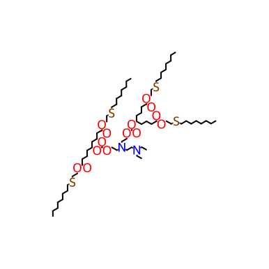 CCCCCCCCSCCOC(=O)CCCC(CCCC(=O)OCCSCCCCCCCC)OC(=O)OCCN(CCOC(=O)OC(CCCC(=O)OCCSCCCCCCCC)CCCC(=O)OCCSCCCCCCCC)CCN(CC)CC